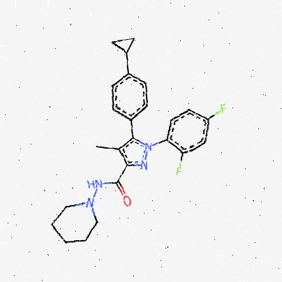 Cc1c(C(=O)NN2CCCCC2)nn(-c2ccc(F)cc2F)c1-c1ccc(C2CC2)cc1